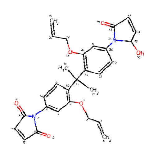 C=CCOc1cc(N2C(=O)C=CC2=O)ccc1C(C)(C)c1ccc(N2C(=O)C=CC2O)cc1OCC=C